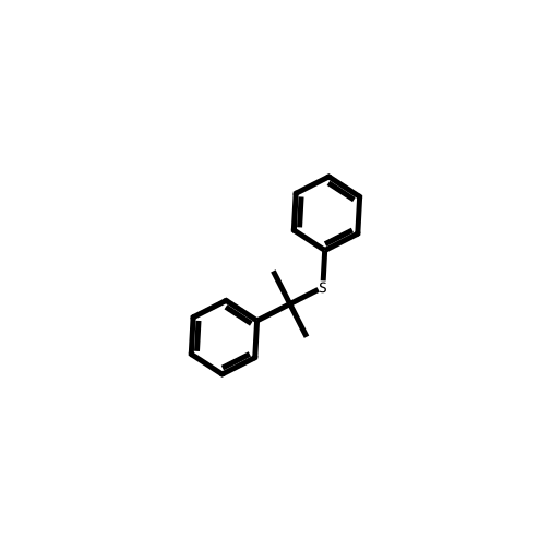 CC(C)(Sc1ccccc1)c1ccccc1